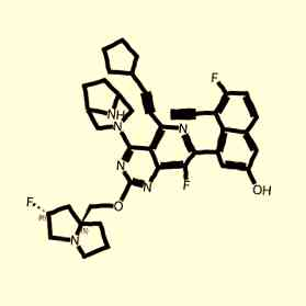 C#Cc1c(F)ccc2cc(O)cc(-c3nc(C#CC4CCCC4)c4c(N5CC6CCC(C5)N6)nc(OC[C@@]56CCCN5C[C@H](F)C6)nc4c3F)c12